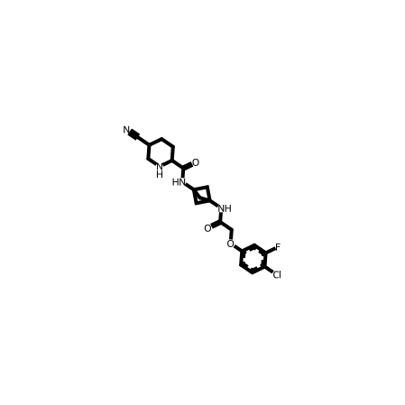 N#CC1CCC(C(=O)NC23CC(NC(=O)COc4ccc(Cl)c(F)c4)(C2)C3)NC1